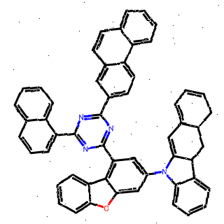 C1=CCC2CC3C(=CC2=C1)N(c1cc(-c2nc(-c4ccc5c(ccc6ccccc65)c4)nc(-c4cccc5ccccc45)n2)c2c(c1)oc1ccccc12)c1ccccc13